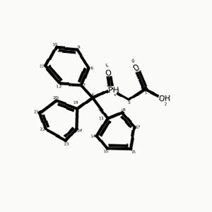 O=C(O)C[PH](=O)C(c1ccccc1)(c1ccccc1)c1ccccc1